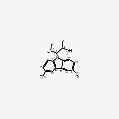 CC(O)C(N(C)C)n1c2ccc(Cl)cc2c2cc(Cl)ccc21